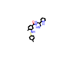 Cc1ccc(SNc2cc(C(=O)NC/C(C=N)=C3\C=CC=CN3)ccc2C)cc1